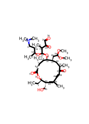 CC[C@H]1OC(=O)CC[C@H](C)[C@@H](OC(OC(C)CCN(C)C)C(C)C(=O)C=O)[C@@H](CC(OC)OC)C[C@@H](C)C(=O)/C=C/C(C)=C/[C@@H]1CO